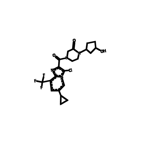 O=C(c1nc2c(C(F)(F)F)cc(C3CC3)cn2c1Cl)N1CCN(C2CCC(O)C2)C(=O)C1